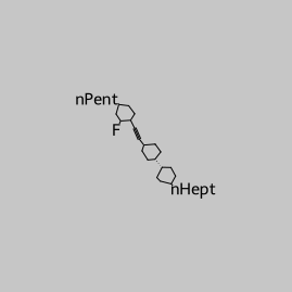 CCCCCCC[C@H]1CC[C@H](C2CCC(C#CC3CCC(CCCCC)CC3F)CC2)CC1